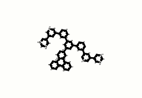 c1cc(-c2cncc(-c3cncnc3)c2)cc(-c2cc(-c3cccc(-c4cncc(-c5cncnc5)c4)c3)cc(-c3ccc4c5ccccc5c5ccccc5c4c3)c2)c1